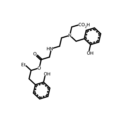 CCC(Cc1ccccc1O)OC(=O)CNCCN(CC(=O)O)Cc1ccccc1O